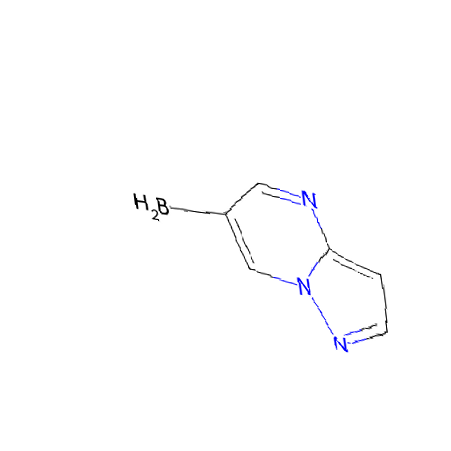 Bc1cnc2ccnn2c1